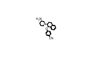 N#Cc1ccc(O[C@H]2c3ccccc3CC[C@@H]2N2CCC[C@H](N)C2)cc1